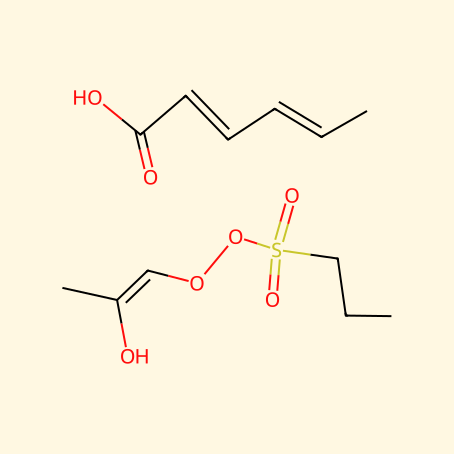 C/C=C/C=C/C(=O)O.CCCS(=O)(=O)OOC=C(C)O